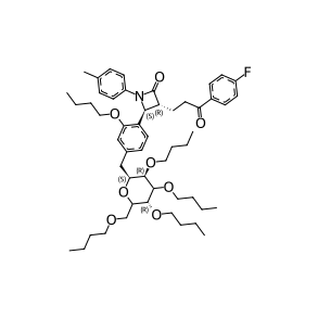 CCCCOCC1O[C@@H](Cc2ccc([C@@H]3[C@@H](CCC(=O)c4ccc(F)cc4)C(=O)N3c3ccc(C)cc3)c(OCCCC)c2)[C@@H](OCCCC)C(OCCCC)[C@@H]1OCCCC